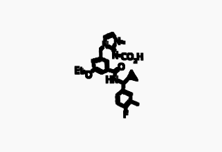 CCOc1cc(Cn2ccn(C)c2=NC(=O)O)cc(C(=O)NC(c2ccc(F)c(C)c2)C2CC2)c1